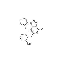 Cc1ccccc1-n1ncc2c(=O)[nH]c(C[C@H]3CCCC[C@@H]3O)nc21